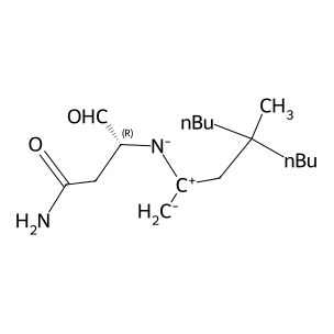 [CH2-][C+2]CCC(C)(CCCC)C[C+]([CH2-])[N-][C@@H](C=O)CC(N)=O